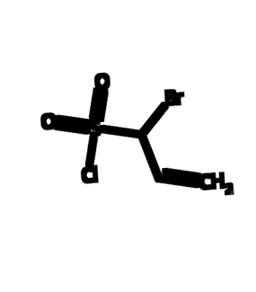 C=CC(Br)S(=O)(=O)Cl